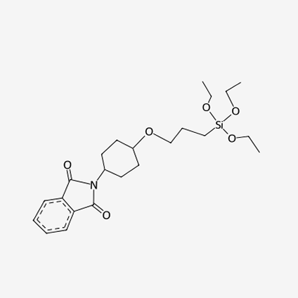 CCO[Si](CCCOC1CCC(N2C(=O)c3ccccc3C2=O)CC1)(OCC)OCC